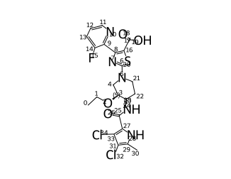 CCO[C@H]1CN(c2nc(-c3ncccc3F)c(C(=O)O)s2)CC[C@H]1NC(=O)c1[nH]c(C)c(Cl)c1Cl